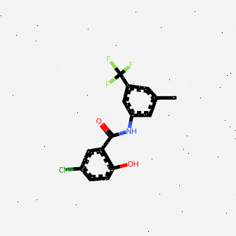 Cc1cc(NC(=O)c2cc(Cl)ccc2O)cc(C(F)(F)F)c1